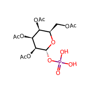 CC(=O)OC[C@H]1O[C@H](OP(=O)(O)O)[C@@H](OC(C)=O)[C@@H](OC(C)=O)[C@H]1OC(C)=O